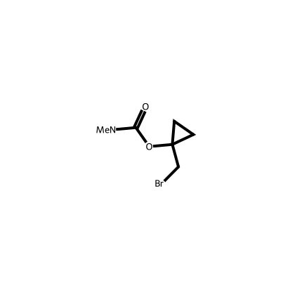 CNC(=O)OC1(CBr)CC1